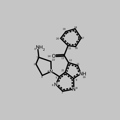 NC1CCN(c2ncnc3[nH]cc(C(=O)c4ccccc4)c23)C1